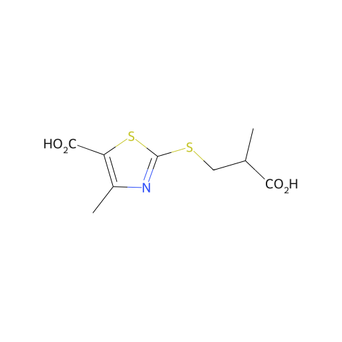 Cc1nc(SCC(C)C(=O)O)sc1C(=O)O